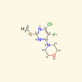 CSc1nc(Cl)c(F)c(N2CCOCC2)n1